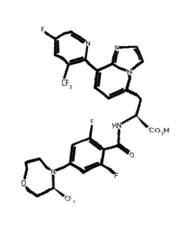 O=C(N[C@@H](Cc1ccc(-c2ncc(F)cc2C(F)(F)F)c2nccn12)C(=O)O)c1c(F)cc(N2CCOC[C@@H]2C(F)(F)F)cc1F